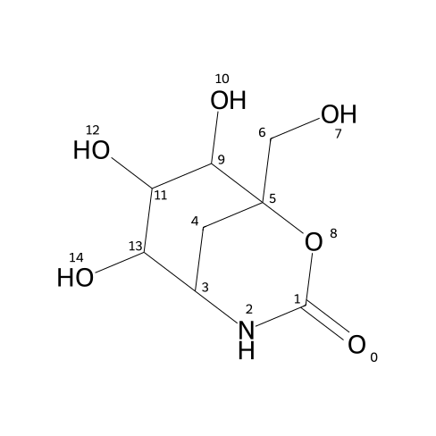 O=C1NC2CC(CO)(O1)C(O)C(O)C2O